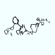 NS(=O)(=O)N1CCC2(CC1)C[C@H]2c1noc(-c2ccccc2OCC(F)(F)F)n1